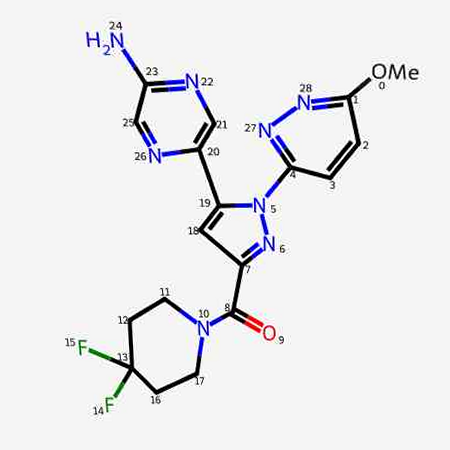 COc1ccc(-n2nc(C(=O)N3CCC(F)(F)CC3)cc2-c2cnc(N)cn2)nn1